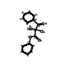 O=C(Oc1ccccc1)C(O)(Cl)C(=O)c1ccccc1